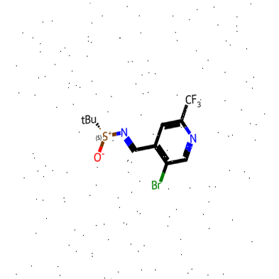 CC(C)(C)[S@@+]([O-])N=Cc1cc(C(F)(F)F)ncc1Br